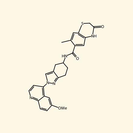 COc1ccc2nccc(-n3cc4c(n3)CCC(NC(=O)c3cc5c(cc3C)SCC(=O)N5)C4)c2c1